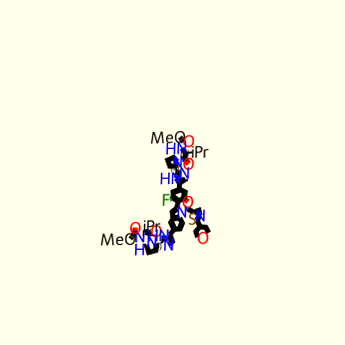 COC(=O)N[C@H](C(=O)N1CCC[C@H]1c1ncc(-c2cc(F)c3c(c2)OC(c2cnc(C4CCOCC4)s2)n2c-3cc3cc(-c4cnc([C@@H]5CCCN5C(=O)[C@@H](NC(=O)OC)C(C)C)[nH]4)ccc32)[nH]1)C(C)C